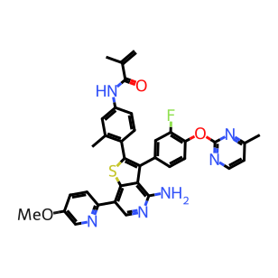 C=C(C)C(=O)Nc1ccc(-c2sc3c(-c4ccc(OC)cn4)cnc(N)c3c2-c2ccc(Oc3nccc(C)n3)c(F)c2)c(C)c1